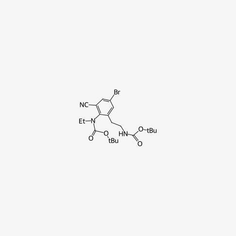 CCN(C(=O)OC(C)(C)C)c1c(C#N)cc(Br)cc1CCNC(=O)OC(C)(C)C